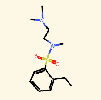 CCc1ccccc1S(=O)(=O)N(C)CCN(C)C